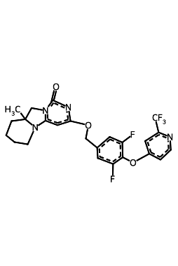 CC12CCCCN1c1cc(OCc3cc(F)c(Oc4ccnc(C(F)(F)F)c4)c(F)c3)nc(=O)n1C2